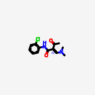 CC(=O)/C(=C\N(C)C)C(=O)Nc1ccccc1Cl